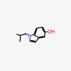 CC(C)Cn1c[c]c2cc(O)ccc21